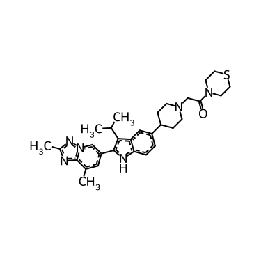 Cc1nc2c(C)cc(-c3[nH]c4ccc(C5CCN(CC(=O)N6CCSCC6)CC5)cc4c3C(C)C)cn2n1